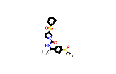 CC(NC(=O)N1CCC(S(=O)(=O)c2ccccc2)C1)c1ccc([S+](C)[O-])cc1